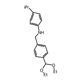 CCOC(OCC)c1ccc(CNc2ccc(C(C)C)cc2)cc1